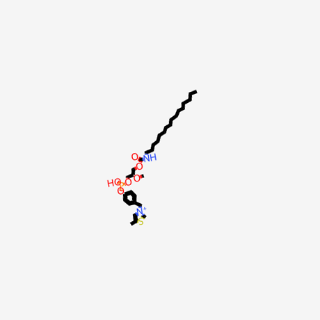 CCCCCCCCCCCCCCCCNC(=O)OCC(COP(O)Oc1ccc(C[n+]2csc(C)c2)cc1)OC